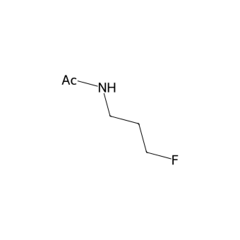 CC(=O)NCCCF